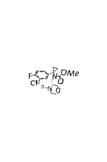 COC(=O)N(C[C@@H]1COCCN1C)C1(c2ccc(F)c(C(F)(F)F)c2)CC1